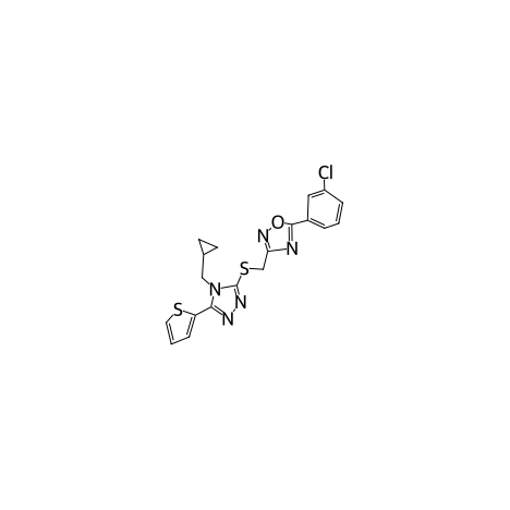 Clc1cccc(-c2nc(CSc3nnc(-c4cccs4)n3CC3CC3)no2)c1